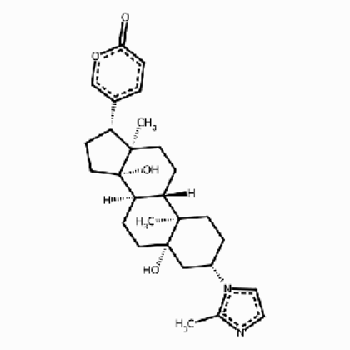 Cc1nccn1[C@H]1CC[C@]2(C)[C@H]3CC[C@]4(C)[C@@H](c5ccc(=O)oc5)CC[C@]4(O)[C@@H]3CC[C@]2(O)C1